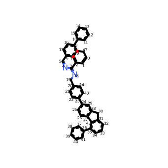 C1=CC(C(/N=C\c2ccc(-c3ccccc3)cc2)=N/Cc2ccc(-c3ccc4c(c3)Cc3cccc(-c5ccccc5)c3-4)cc2)=CCC1